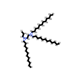 CCCCCCCCCCCCN(CCC)CCN(CCCCCCCCCCCC)CCCCCCCCCCCC